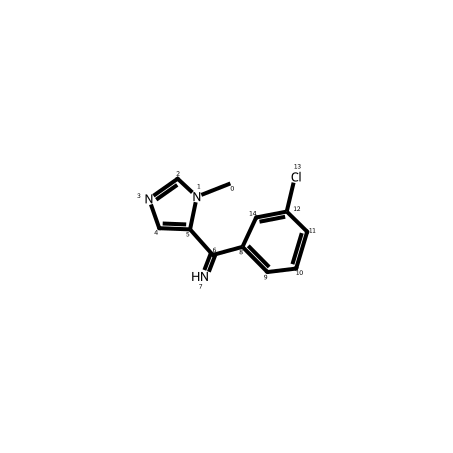 Cn1cncc1C(=N)c1cccc(Cl)c1